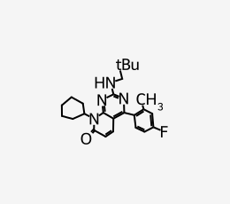 Cc1cc(F)ccc1-c1nc(NCC(C)(C)C)nc2c1ccc(=O)n2C1CCCCC1